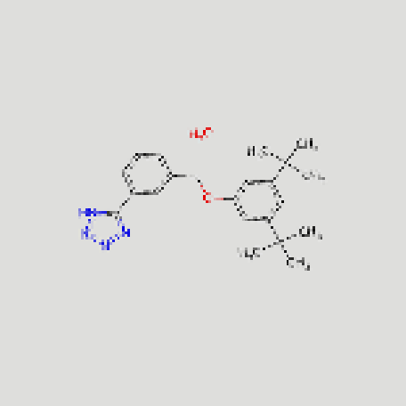 CC(C)(C)c1cc(OCc2cccc(-c3nnn[nH]3)c2)cc(C(C)(C)C)c1.O